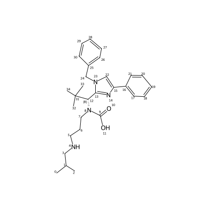 CC(C)CNCCCN(C(=O)O)[C@@H](c1nc(-c2ccccc2)cn1Cc1ccccc1)C(C)(C)C